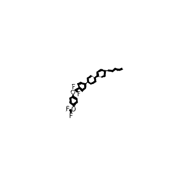 CCCCC[C@H]1CC[C@H]([C@H]2CC[C@H](c3ccc(C(F)(F)Oc4ccc(OC(F)F)cc4)cc3)CC2)CC1